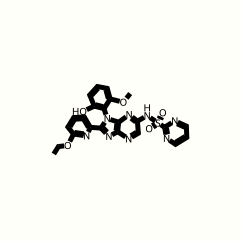 CCOC1=NC(c2nc3ncc(NS(=O)(=O)c4ncccn4)nc3n2-c2c(O)cccc2OC)=C=C=C1